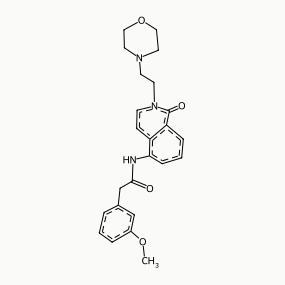 COc1cccc(CC(=O)Nc2cccc3c(=O)n(CCN4CCOCC4)ccc23)c1